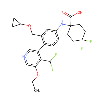 CCOc1cncc(-c2ccc(NC3(C(=O)O)CCC(F)(F)CC3)cc2COC2CC2)c1C(F)F